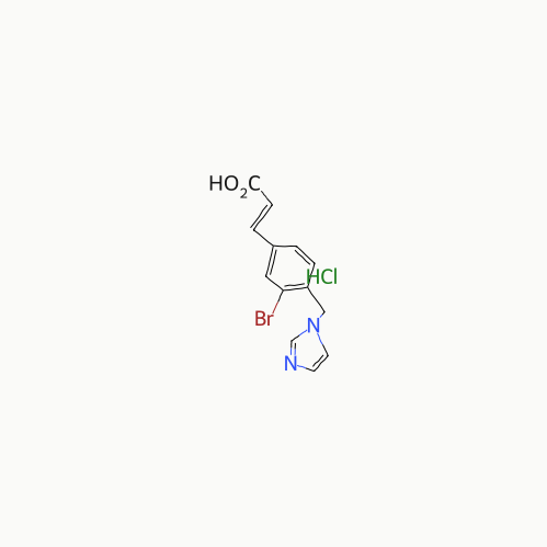 Cl.O=C(O)C=Cc1ccc(Cn2ccnc2)c(Br)c1